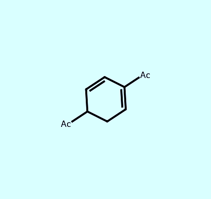 CC(=O)C1=CCC(C(C)=O)C=C1